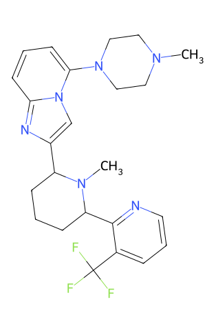 CN1CCN(c2cccc3nc(C4CCCC(c5ncccc5C(F)(F)F)N4C)cn23)CC1